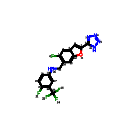 Fc1cc2cc(-c3nnn[nH]3)oc2cc1CNc1ccc(F)c(C(F)(F)F)c1